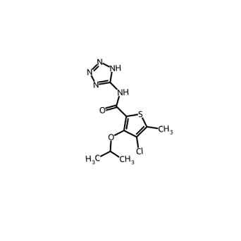 Cc1sc(C(=O)Nc2nnn[nH]2)c(OC(C)C)c1Cl